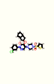 O=c1c(OC2Cc3ccccc3C2)c(N2CCN(S(=O)(=O)c3cccs3)CC2)cnn1-c1cccc(Cl)c1